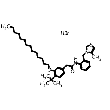 Br.CCCCCCCCCCCCCCOc1cc(CC(=O)Nc2ccccc2CN2CSC=C2C)ccc1C(C)(C)C